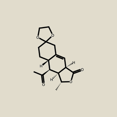 CC(=O)[C@@H]1[C@@H]2[C@@H](C)OC(=O)[C@@H]2C=C2CC3(CC[C@H]21)OCCO3